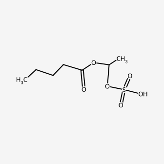 CCCCC(=O)OC(C)OS(=O)(=O)O